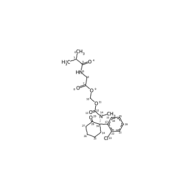 CC(C)C(=O)NCC(=O)OCOC(=O)N(C)[C@]1(c2ccccc2Cl)CCCCC1=O